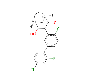 O=C1C(c2cc(-c3ccc(Cl)cc3F)ccc2Cl)=C(O)[C@H]2CC[C@@H]1C2